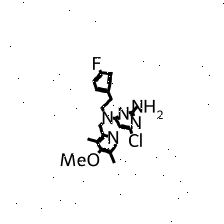 COc1c(C)cnc(CN(CCc2ccc(F)cc2)c2cc(Cl)nc(N)n2)c1C